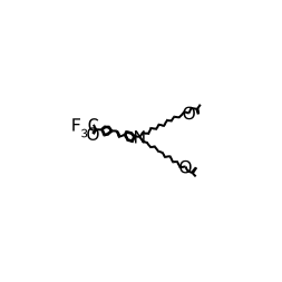 C=C(C)COCCCCCCCCCCCN(CCCCCCCCCCCOCC(=C)C)c1ccc(/C=C/c2ccc(C(=O)C(F)(F)F)cc2)cc1